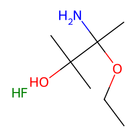 CCOC(C)(N)C(C)(C)O.F